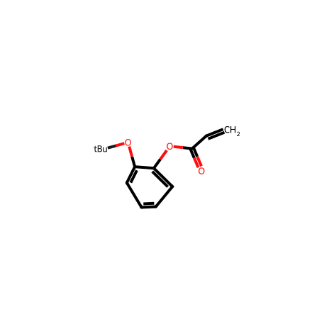 C=CC(=O)Oc1ccccc1OC(C)(C)C